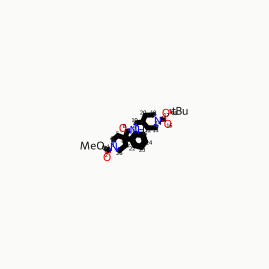 COC(=O)N1CCC(C(=O)NCC2CCN(C(=O)OC(C)(C)C)CC2)(c2ccccc2)CC1